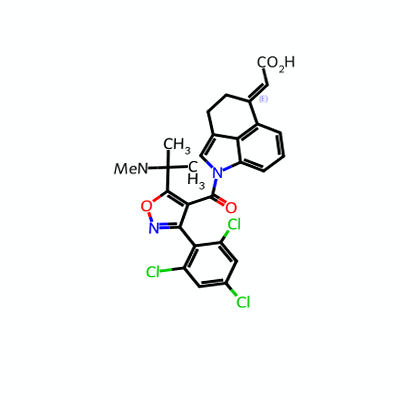 CNC(C)(C)c1onc(-c2c(Cl)cc(Cl)cc2Cl)c1C(=O)n1cc2c3c(cccc31)/C(=C/C(=O)O)CC2